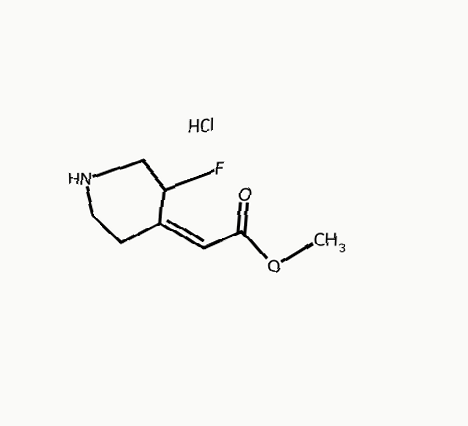 COC(=O)/C=C1/CCNCC1F.Cl